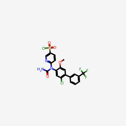 COc1cc(-c2cccc(C(F)(F)F)c2)c(Cl)cc1N(C(N)=O)c1ccc(S(=O)(=O)Cl)cn1